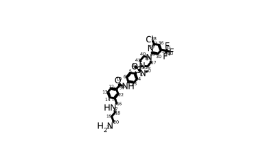 CN=S(=O)(c1ccc(NC(=O)c2cccc(CNCCCN)c2)cc1)N1CCN(c2cc(C(F)(F)F)cc(Cl)n2)CC1